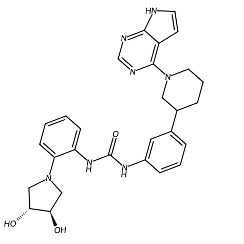 O=C(Nc1cccc(C2CCCN(c3ncnc4[nH]ccc34)C2)c1)Nc1ccccc1N1C[C@@H](O)[C@H](O)C1